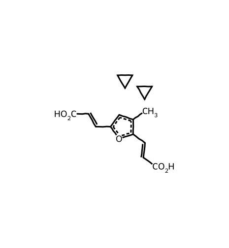 C1CC1.C1CC1.Cc1cc(C=CC(=O)O)oc1C=CC(=O)O